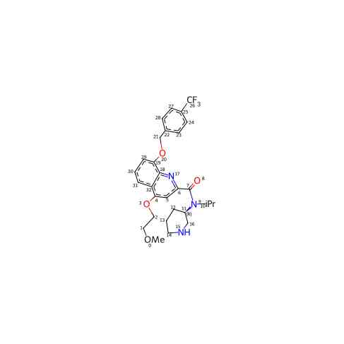 COCCOc1cc(C(=O)N(C(C)C)[C@@H]2CCCNC2)nc2c(OCc3ccc(C(F)(F)F)cc3)cccc12